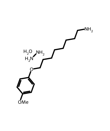 COc1ccc(OCCCCCCCCN)cc1.NN.O